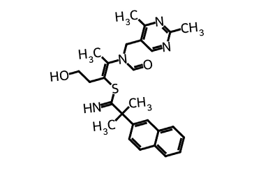 C/C(=C(\CCO)SC(=N)C(C)(C)c1ccc2ccccc2c1)N(C=O)Cc1cnc(C)nc1C